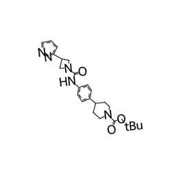 CC(C)(C)OC(=O)N1CCC(c2ccc(NC(=O)N3CC(c4cccnn4)C3)cc2)CC1